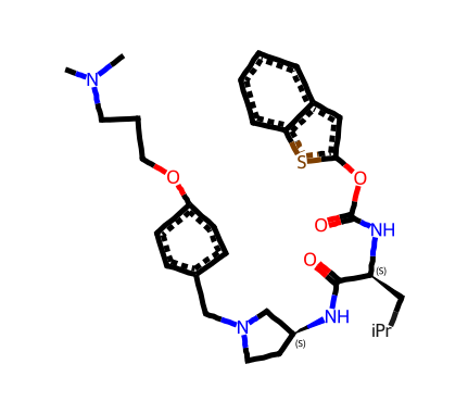 CC(C)C[C@H](NC(=O)Oc1cc2ccccc2s1)C(=O)N[C@H]1CCN(Cc2ccc(OCCCN(C)C)cc2)C1